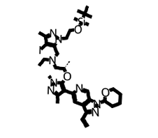 C=Cc1nn(C2CCCCO2)c2cnc(-c3c(C)nn(C)c3O[C@@H](C)CN(CC)Cc3c(I)c(C)nn3CCO[Si](C)(C)C(C)(C)C)cc12